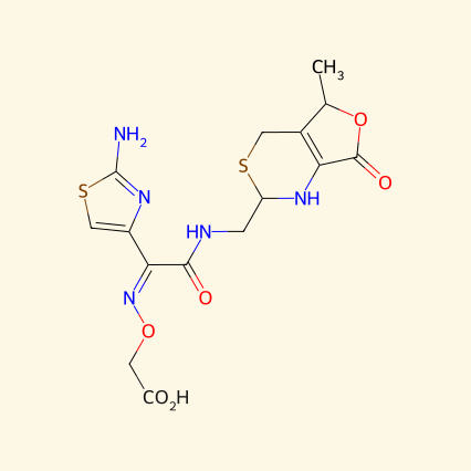 CC1OC(=O)C2=C1CSC(CNC(=O)/C(=N\OCC(=O)O)c1csc(N)n1)N2